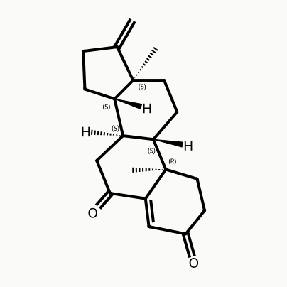 C=C1CC[C@H]2[C@@H]3CC(=O)C4=CC(=O)CC[C@]4(C)[C@H]3CC[C@]12C